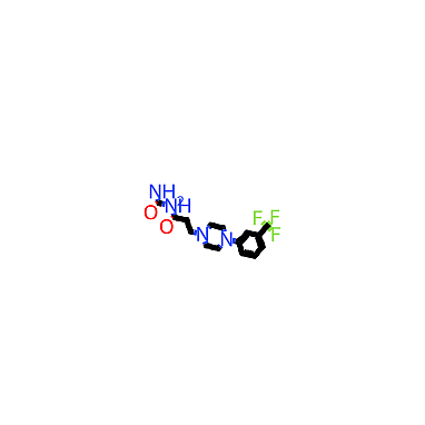 NC(=O)NC(=O)CCN1CCN(c2cccc(C(F)(F)F)c2)CC1